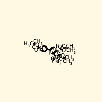 COC(=O)c1nc(C2=CCN(C(=O)OC(C)(C)C)CC2)cnc1N(C(=O)OC(C)(C)C)C(=O)OC(C)(C)C